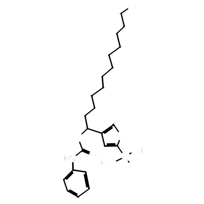 CCCCCCCCCCCCC(OC(=O)Nc1ccccc1)c1coc([Si](C)(C)C)c1